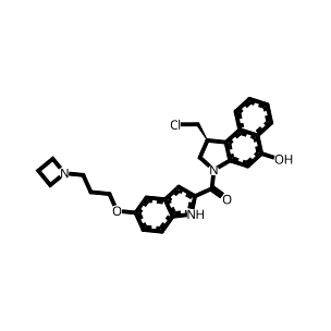 O=C(c1cc2cc(OCCCN3CCC3)ccc2[nH]1)N1C[C@@H](CCl)c2c1cc(O)c1ccccc21